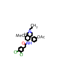 C=CCN1CC[C@@]2(c3cccc(OC(C)=O)c3)C[C@H](NC(=O)Cc3ccc(Cl)c(Cl)c3)CC(OC)[C@@H]2C1